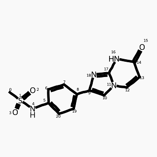 CS(=O)(=O)Nc1ccc(-c2cn3ccc(=O)[nH]c3n2)cc1